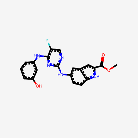 COC(=O)c1cc2cc(Nc3ncc(F)c(Nc4cccc(O)c4)n3)ccc2[nH]1